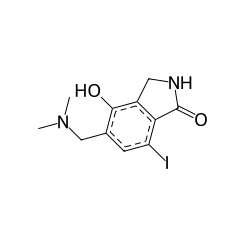 CN(C)Cc1cc(I)c2c(c1O)CNC2=O